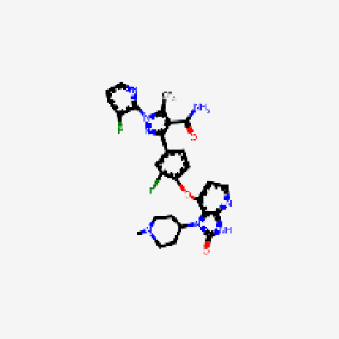 CN1CCC(n2c(=O)[nH]c3nccc(Oc4ccc(-c5nn(-c6ncccc6F)c(C(F)(F)F)c5C(N)=O)cc4F)c32)CC1